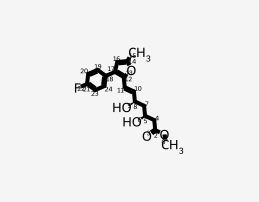 COC(=O)C[C@@H](O)C[C@H](O)/C=C/c1oc(C)cc1-c1ccc(F)cc1